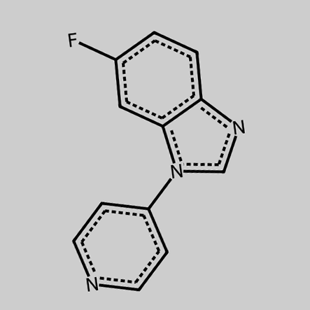 Fc1ccc2ncn(-c3ccncc3)c2c1